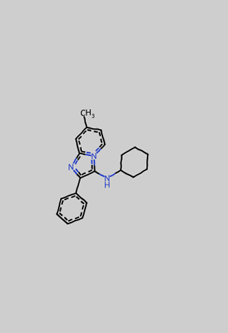 Cc1ccn2c(NC3CCCCC3)c(-c3ccccc3)nc2c1